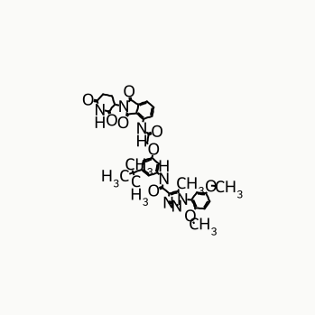 COc1ccc(OC)c(-n2nnc(C(=O)Nc3cc(OCC(=O)Nc4cccc5c4C(=O)N(C4CCC(=O)NC4=O)C5=O)cc(C(C)(C)C)c3)c2C)c1